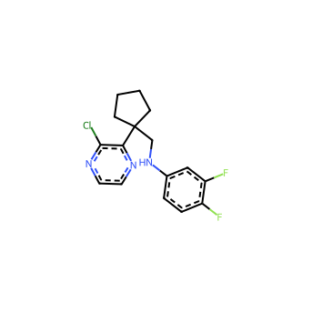 Fc1ccc(NCC2(c3nccnc3Cl)CCCC2)cc1F